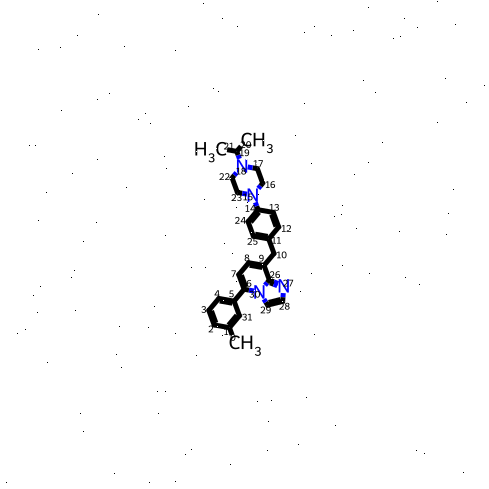 Cc1cccc(-c2ccc(Cc3ccc(N4CCN(C(C)C)CC4)cc3)c3nccn23)c1